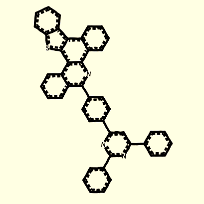 c1ccc(-c2cc(-c3ccc(-c4nc5c6ccccc6c6c7ccccc7sc6c5c5ccccc45)cc3)nc(-c3ccccc3)n2)cc1